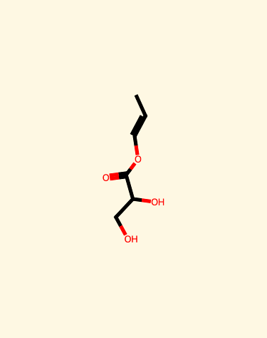 C/C=C/OC(=O)C(O)CO